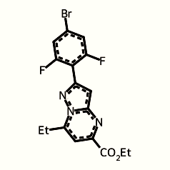 CCOC(=O)c1cc(CC)n2nc(-c3c(F)cc(Br)cc3F)cc2n1